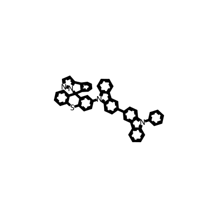 c1ccc(-n2c3ccccc3c3cc(-c4ccc5c(c4)c4ccccc4n5-c4ccc5c(c4)C4(c6ccccc6S5)c5ccccc5-c5ccnn54)ccc32)cc1